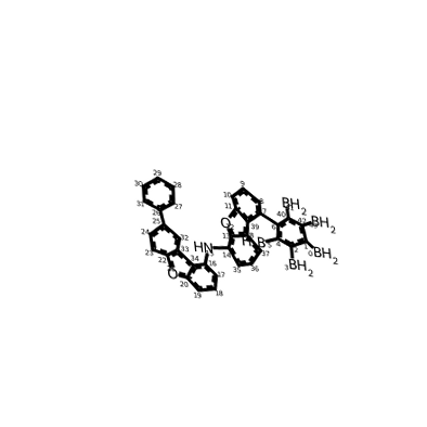 Bc1c(B)c(B)c(-c2cccc3oc4c(Nc5cccc6oc7ccc(-c8ccccc8)cc7c56)cccc4c23)c(B)c1B